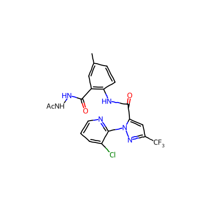 CC(=O)NNC(=O)c1cc(C)ccc1NC(=O)c1cc(C(F)(F)F)nn1-c1ncccc1Cl